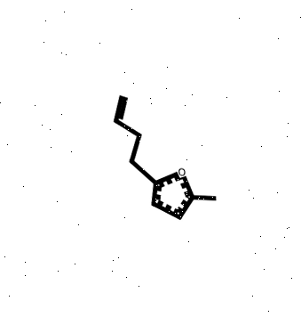 C=CCCc1ccc(C)o1